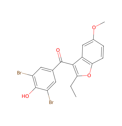 CCc1oc2ccc(OC)cc2c1C(=O)c1cc(Br)c(O)c(Br)c1